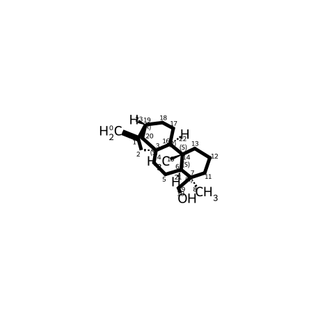 C=C1C[C@@]23CC[C@@H]4[C@](C)(CO)CCC[C@@]4(C)[C@@H]2CC[C@@H]1C3